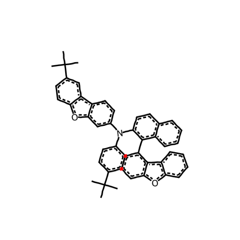 CC(C)(C)c1ccc(N(c2ccc3c(c2)oc2ccc(C(C)(C)C)cc23)c2ccc3ccccc3c2-c2cccc3oc4ccccc4c23)cc1